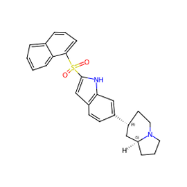 O=S(=O)(c1cc2ccc([C@@H]3CCN4CCC[C@H]4C3)cc2[nH]1)c1cccc2ccccc12